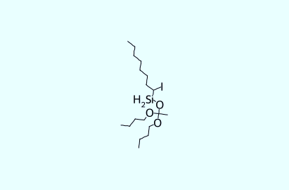 CCCCCCCC(I)[SiH2]OC(C)(OCCCC)OCCCC